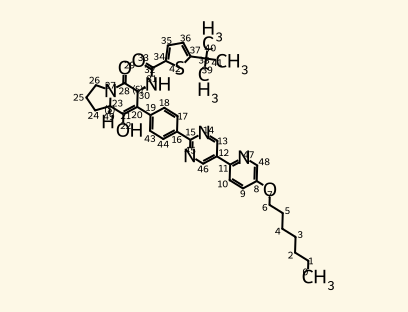 CCCCCCCOc1ccc(-c2cnc(-c3ccc(C4=C(O)[C@@H]5CCCN5C(=O)[C@H]4NC(=O)c4ccc(C(C)(C)C)s4)cc3)nc2)nc1